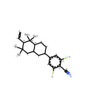 [2H]C1([2H])CC2CC(c3cc(F)c(C#N)c(F)c3)CCC2C([2H])([2H])C1C=C